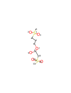 CS(=O)(=O)CCCOC([O])CS(C)(=O)=O